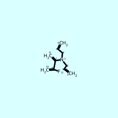 C=CCN(CC=C)C(=C)C(=C)F